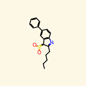 CCCCCC1=Nc2ccc(-c3ccccc3)cc2C1=S(=O)=O